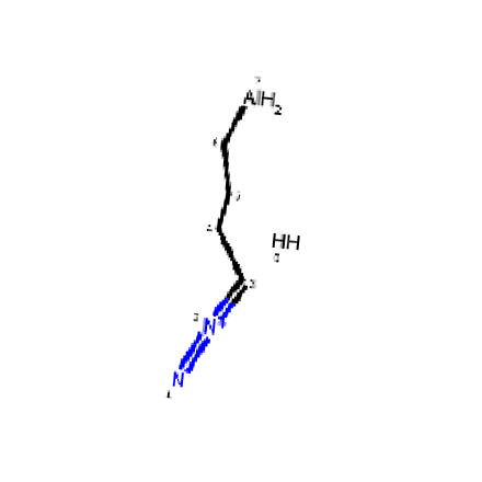 [HH].[N-]=[N+]=CCC[CH2][AlH2]